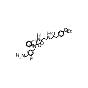 CCOc1ccc(CC(=O)CNCCC(=O)N[C@@H](Cc2ccccc2)C(=O)NCc2ccc(CN)c(F)c2)cc1